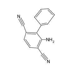 N#Cc1ccc(C#N)c(-c2ccccc2)c1N